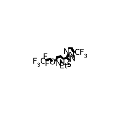 CCSc1nn2c(C(F)(F)F)ccnc2c1-c1ccc(OCC(F)(F)C(F)(F)F)nn1